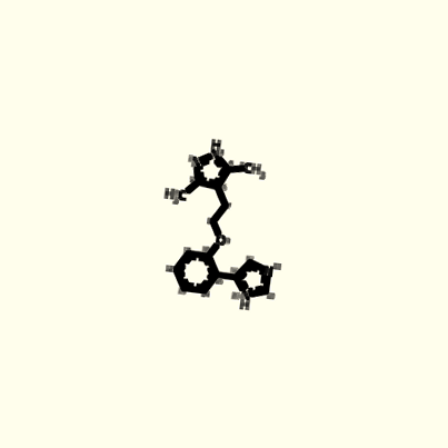 Cc1n[nH]c(C)c1CCOc1ccccc1-c1cnc[nH]1